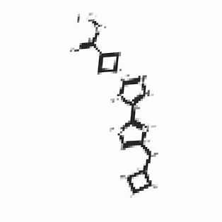 COC(=O)[C@H]1C[C@H](c2nnc(-c3nc(CC4CCC4)cs3)o2)C1